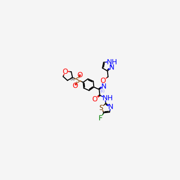 O=C(Nc1ncc(F)s1)/C(=N/OCc1cc[nH]n1)c1ccc(S(=O)(=O)[C@H]2CCOC2)cc1